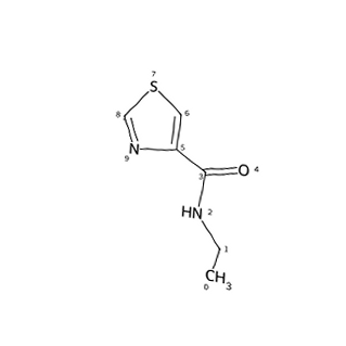 CCNC(=O)c1cs[c]n1